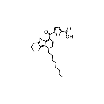 CCCCCCCCC1C=CC(C(=O)c2ccc(C(=O)O)o2)=C2N=C3CCCCC3=C21